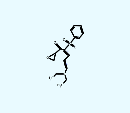 CCN(/C=C/C=C(\C(=O)C1CO1)S(=O)(=O)c1ccccc1)CC